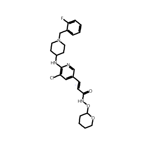 O=C(/C=C/c1cnc(NC2CCN(Cc3ccccc3F)CC2)c(Cl)c1)NOC1CCCCO1